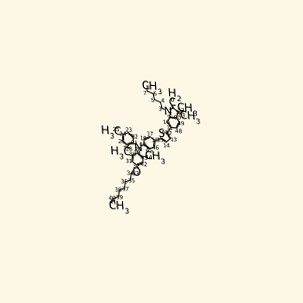 C=C1N(CCCCCC)c2cc(-c3ccc(-c4ccc(N(c5ccc(C)cc5C)c5ccc(OCCCCCCCC)cc5C)cc4)s3)ccc2C1(C)C